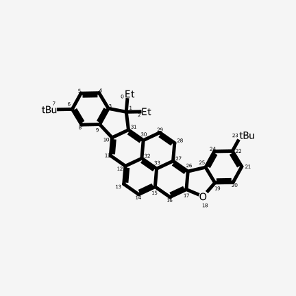 CCC1(CC)c2ccc(C(C)(C)C)cc2-c2cc3ccc4cc5oc6ccc(C(C)(C)C)cc6c5c5ccc(c21)c3c45